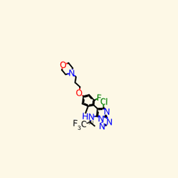 Cc1cc(OCCCN2CCOCC2)cc(F)c1-c1c(Cl)nc2ncnn2c1N[C@@H](C)C(F)(F)F